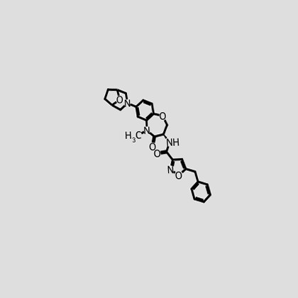 CN1C(=O)[C@H](NC(=O)c2cc(Cc3ccccc3)on2)COc2ccc(N3CC4CCC(C3)O4)cc21